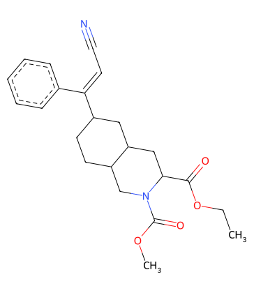 CCOC(=O)C1CC2CC(C(=CC#N)c3ccccc3)CCC2CN1C(=O)OC